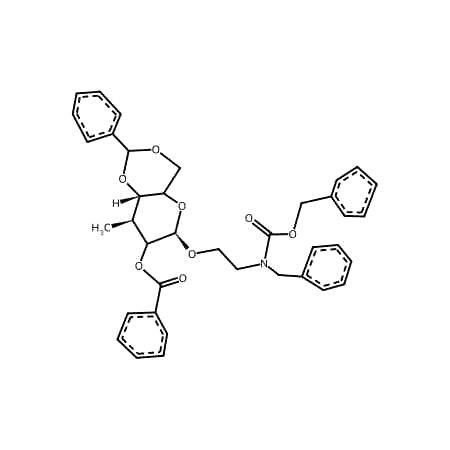 C[C@@H]1C(OC(=O)c2ccccc2)[C@H](OCCN(Cc2ccccc2)C(=O)OCc2ccccc2)OC2COC(c3ccccc3)O[C@H]21